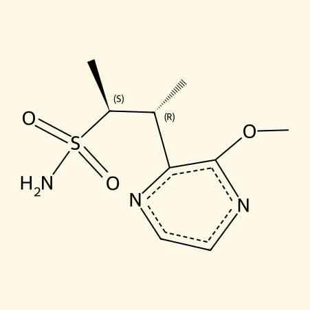 COc1nccnc1[C@@H](C)[C@H](C)S(N)(=O)=O